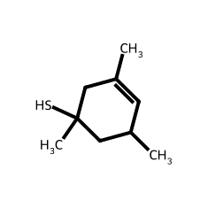 CC1=CC(C)CC(C)(S)C1